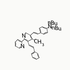 CCCCN(CCCC)c1ccc(C=Cc2cnc(-c3ccccn3)c(C=Cc3ccccc3)c2C)cc1